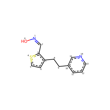 O/N=C\c1sccc1CCc1cccnc1